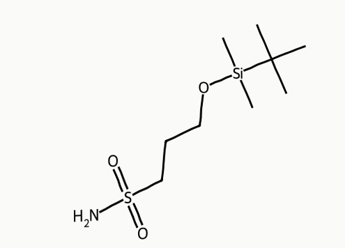 CC(C)(C)[Si](C)(C)OCCCS(N)(=O)=O